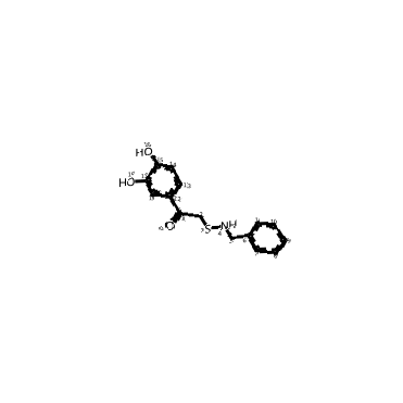 O=C(CSNCc1ccccc1)c1ccc(O)c(O)c1